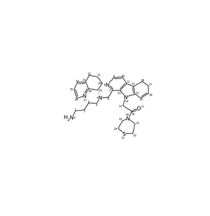 NCCCCN(Cc1nccc2c3c(n(CC(=O)N4CCSCC4)c12)C=CCC3)[C@H]1CCCc2cccnc21